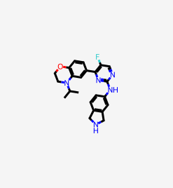 CC(C)N1CCOc2ccc(-c3nc(Nc4ccc5c(c4)CNC5)ncc3F)cc21